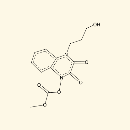 COC(=O)On1c(=O)c(=O)n(CCCO)c2ccccc21